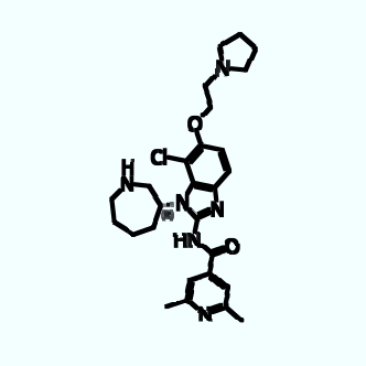 Cc1cc(C(=O)Nc2nc3ccc(OCCN4CCCC4)c(Cl)c3n2[C@@H]2CCCCNC2)cc(C)n1